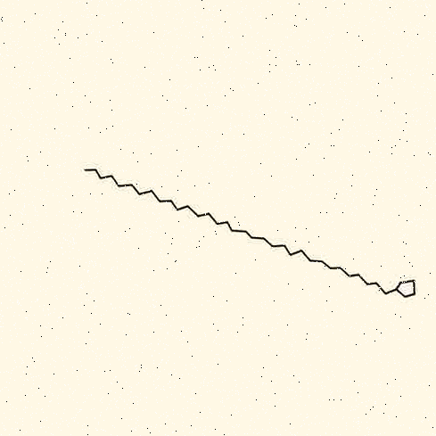 CCCCCCCCCCCCCCCCCCCCCCCCCCCCCCCCCC1CCCC1